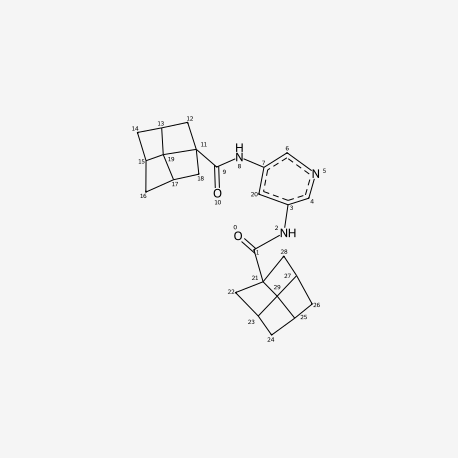 O=C(Nc1cncc(NC(=O)C23CC4CC5CC(C2)C543)c1)C12CC3CC4CC(C1)C432